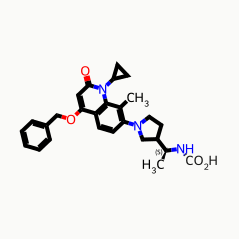 Cc1c(N2CCC([C@H](C)NC(=O)O)C2)ccc2c(OCc3ccccc3)cc(=O)n(C3CC3)c12